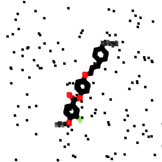 CCCCCCCC1CCC(CCCOc2ccc(OC(=O)c3ccc(OCCC)c(F)c3)cc2)CC1